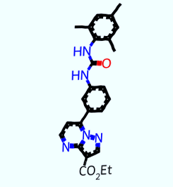 CCOC(=O)c1cnn2c(-c3cccc(NC(=O)Nc4c(C)cc(C)cc4C)c3)ccnc12